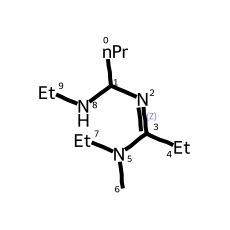 CCCC(/N=C(/CC)N(C)CC)NCC